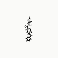 CCOC(=O)CNC(=O)N1CC2CC(CN(Cc3ccccc3)C2)C1